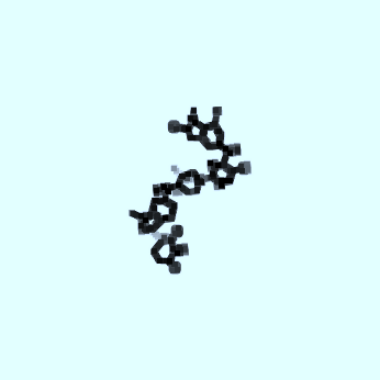 C[C@@H]1CN(c2ncc(Cl)c(Nc3cc(F)c4c(c3)CC(=O)N4C)n2)CC[C@H]1Nc1ccc2c([C@H]3CCC(=O)NC3=O)nn(C)c2c1